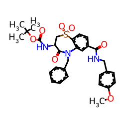 COc1ccc(CNC(=O)c2ccc3c(c2)N(Cc2ccccc2)C(=O)[C@@H](NC(=O)OC(C)(C)C)CS3(=O)=O)cc1